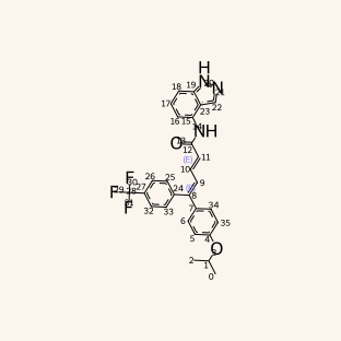 CC(C)Oc1ccc(/C(=C/C=C/C(=O)Nc2cccc3[nH]ncc23)c2ccc(C(F)(F)F)cc2)cc1